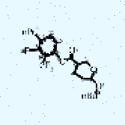 CCCCOC1CCC(C(=O)Oc2ccc(CCC)c(F)c2C(F)(F)F)CO1